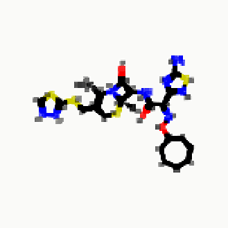 Nc1nc(/C(=N/OC2CCCCCC2)C(=O)NC2C(=O)N3C(C(=O)O)=C(CSc4nncs4)CS[C@H]23)ns1